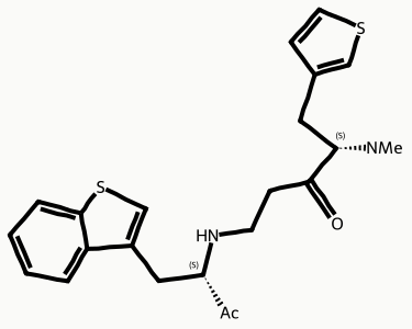 CN[C@@H](Cc1ccsc1)C(=O)CCN[C@@H](Cc1csc2ccccc12)C(C)=O